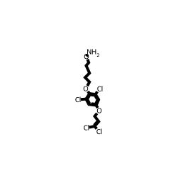 NOCCCCCOc1c(Cl)cc(OCC=C(Cl)Cl)cc1Cl